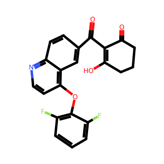 O=C1CCCC(O)=C1C(=O)c1ccc2nccc(Oc3c(F)cccc3F)c2c1